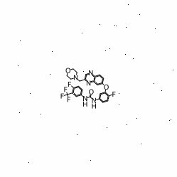 O=C(Nc1ccc(F)c(Oc2ccc3ncc(CN4CCOCC4)nc3c2)c1)Nc1ccc(F)c(C(F)(F)F)c1